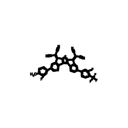 Cc1ccc(-c2ccc3c(c2)C(=C(C#N)C#N)c2sc4c(c2-3)-c2ccc(-c3ccc(C(F)(F)F)c(F)c3)cc2C4=C(C#N)C#N)cc1F